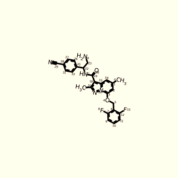 Cc1cc(OCc2c(F)cccc2F)n2nc(C)c(C(=O)NC(CN)c3ccc(C#N)cc3)c2c1